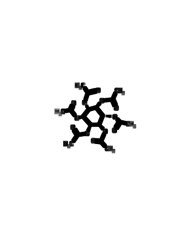 CC(=O)O[C@H]1[C@H](OC(C)=O)[C@@H](OC(C)=O)[C@H](OC(C)=O)[C@@H](OC(C)=O)[C@H]1OC(C)=O